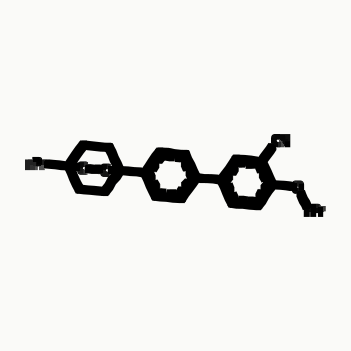 CCCOc1ccc(-c2ccc(C34CCC(CCC)(CC3)CC4)cc2)cc1C#N